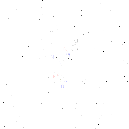 Nc1ncc(C2(O)CCC(N(C(=O)CNC(=O)c3cccc(C(F)(F)F)c3)C3CNC3)CC2)s1